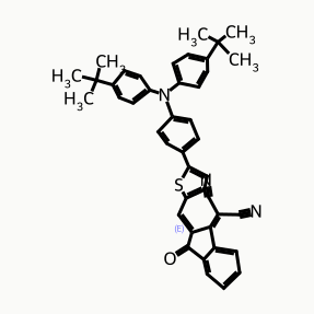 CC(C)(C)c1ccc(N(c2ccc(-c3ccc(/C=C4/C(=O)c5ccccc5C4=C(C#N)C#N)s3)cc2)c2ccc(C(C)(C)C)cc2)cc1